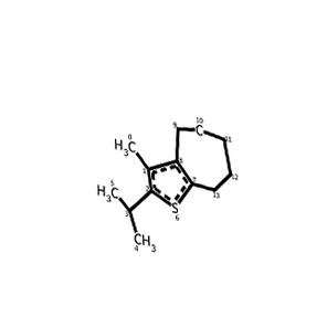 Cc1c(C(C)C)sc2c1CCCCC2